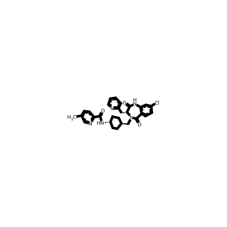 Cc1ccc(C(=O)N[C@H]2CC[C@H](CN3C(=O)c4ccc(Cl)cc4NC(=O)[C@H]3Cc3ccccn3)CC2)nc1